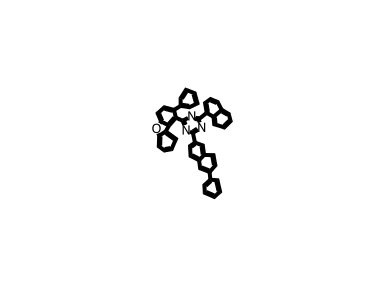 c1ccc(-c2ccc3cc(-c4nc(-c5cccc6ccccc56)nc(-c5c(-c6ccccc6)ccc6oc7ccccc7c56)n4)ccc3c2)cc1